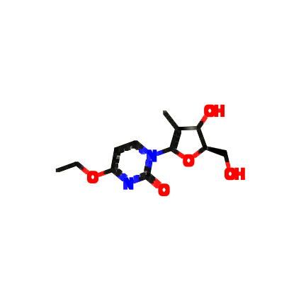 CCOc1ccn(C2=C(C)C(O)[C@@H](CO)O2)c(=O)n1